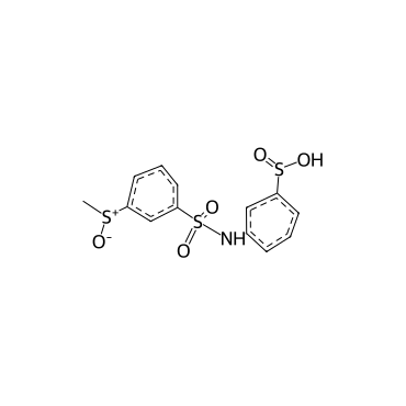 C[S+]([O-])c1cccc(S(=O)(=O)Nc2cccc(S(=O)O)c2)c1